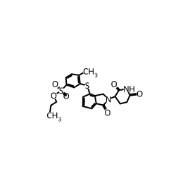 CCCOS(=O)(=O)c1ccc(C)c(Sc2cccc3c2CN(C2CCC(=O)NC2=O)C3=O)c1